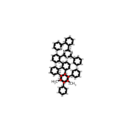 Cc1cc(C)nc(-c2cccc(-c3ccccc3-c3nc(-c4ccccc4)nc(-c4ccccc4-c4ccccn4)n3)c2-c2ccccc2-c2cc(-c3ccccc3)nc(-c3ccccc3)n2)n1